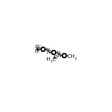 COc1cc(N=Nc2ccc([N+](=O)[O-])cc2)ccc1N=Nc1ccc(C)cc1